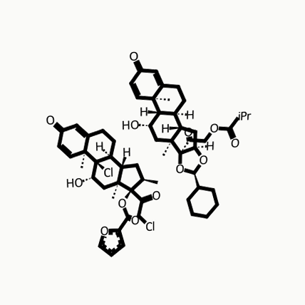 CC(C)C(=O)OCC(=O)[C@@]12O[C@H](C3CCCCC3)O[C@@H]1C[C@H]1[C@@H]3CCC4=CC(=O)C=C[C@]4(C)[C@H]3[C@@H](O)C[C@@]12C.C[C@@H]1C[C@H]2[C@@H]3CCC4=CC(=O)C=C[C@]4(C)[C@@]3(Cl)[C@@H](O)C[C@]2(C)[C@@]1(OC(=O)c1ccco1)C(=O)CCl